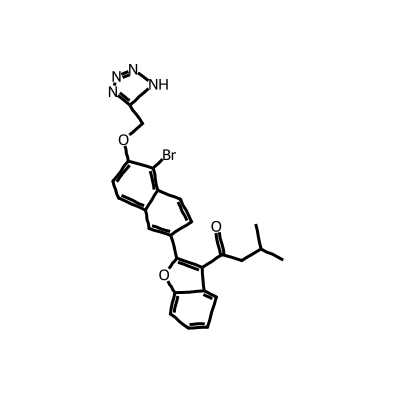 CC(C)CC(=O)c1c(-c2ccc3c(Br)c(OCc4nnn[nH]4)ccc3c2)oc2ccccc12